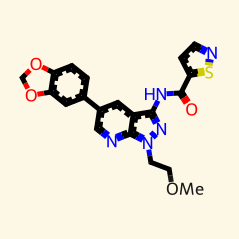 COCCn1nc(NC(=O)c2ccns2)c2cc(-c3ccc4c(c3)OCO4)cnc21